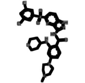 CN1CCN(c2ccc(C(=O)Nc3n[nH]c4ccc(S(=O)(=O)c5cc(Cl)cc(Cl)c5)nc34)c(NC3CCOCC3)c2)CC1